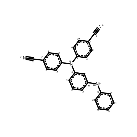 N#Cc1ccc(N(c2ccc(C#N)cc2)c2cccc(Nc3ccccc3)c2)cc1